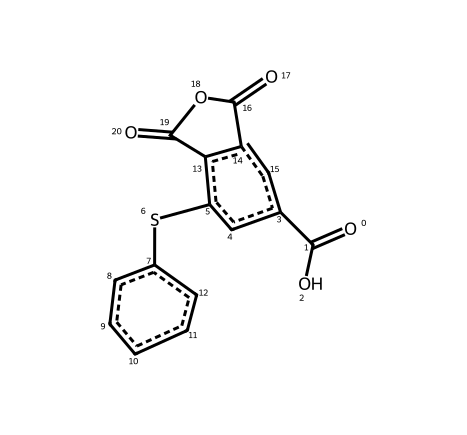 O=C(O)c1cc(Sc2ccccc2)c2c(c1)C(=O)OC2=O